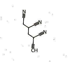 C#CC(C#N)CC(C#N)CC#N